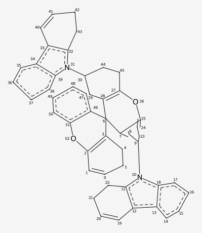 C1=CC2=C(CC1)C1(C3=CC(n4c5c(c6ccccc64)C=CCC5)CC=C3OC3=C1CC(n1c4c(c5ccccc51)C=CCC4)CC3)c1ccccc1O2